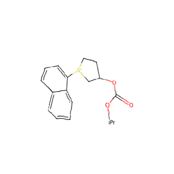 CC(C)OC(=O)OC1CC[S+](c2cccc3ccccc23)C1